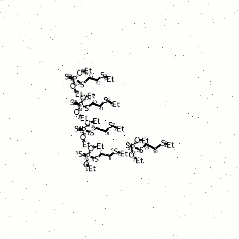 CCOP(=S)(OCC)SCCSCC.CCOP(=S)(OCC)SCCSCC.CCOP(=S)(OCC)SCCSCC.CCOP(=S)(OCC)SCCSCC.CCOP(=S)(OCC)SCCSCC